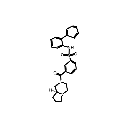 O=C(c1cccc(S(=O)(=O)Nc2ccccc2-c2ccccc2)c1)N1CCN2CCC[C@H]2C1